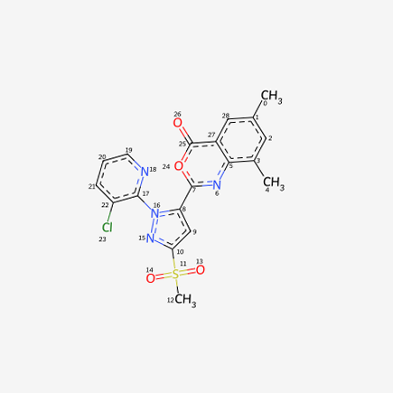 Cc1cc(C)c2nc(-c3cc(S(C)(=O)=O)nn3-c3ncccc3Cl)oc(=O)c2c1